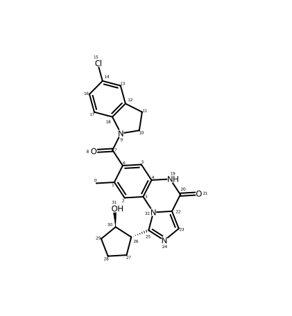 Cc1cc2c(cc1C(=O)N1CCc3cc(Cl)ccc31)[nH]c(=O)c1cnc([C@@H]3CCC[C@H]3O)n12